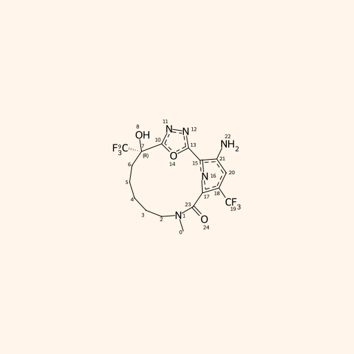 CN1CCCCC[C@](O)(C(F)(F)F)c2nnc(o2)-c2nc(c(C(F)(F)F)cc2N)C1=O